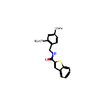 COc1ccc(CNC(=O)c2cc3ccccc3s2)c(OC)c1